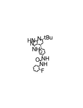 CC(C)(C)c1cc(-c2ccc(NC(=O)Nc3ccccc3F)cc2)c2c(N)n[nH]c2n1